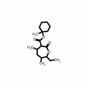 CCC1OC(=O)C(C(=O)OC2(C)CCCCC2)C(C)CC1C